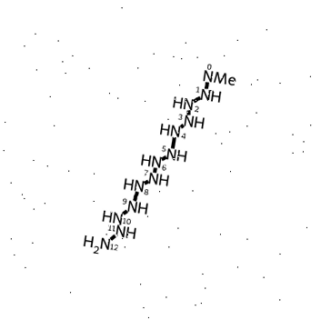 CNNNNNNNNNNNNN